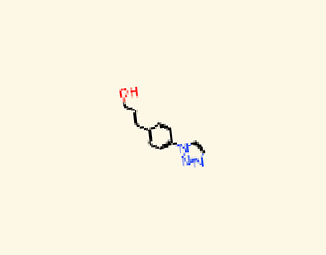 OC/C=C/c1ccc(-n2ccnn2)cc1